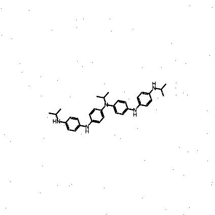 CC(C)Nc1ccc(Nc2ccc(N(c3ccc(Nc4ccc(NC(C)C)cc4)cc3)C(C)C)cc2)cc1